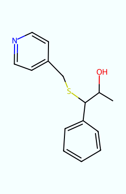 CC(O)C(SCc1ccncc1)c1ccccc1